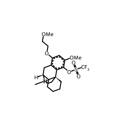 COCCOc1cc(OC)c(OS(=O)(=O)C(F)(F)F)c2c1C[C@@H]1[C@@H]3CCCC[C@]23CCN1C